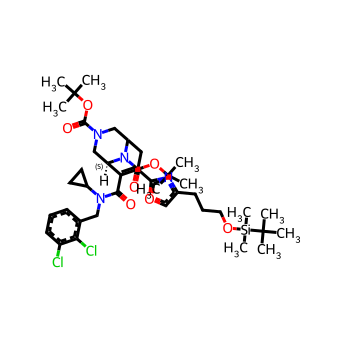 CC(C)(C)OC(=O)N1CC2CC(c3nc(CCCO[Si](C)(C)C(C)(C)C)co3)=C(C(=O)N(Cc3cccc(Cl)c3Cl)C3CC3)[C@@H](C1)N2C(=O)OC(C)(C)C